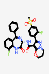 CS(=O)(=O)c1ccc(-c2nn3c(c2C(=O)N[C@H]2N=C(c4ccccc4)c4cccc(F)c4NC2=O)OCCC3)c(F)c1